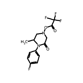 CC1CN(OC(=O)C(F)(F)F)CC(=O)N1c1ccc(F)cc1